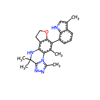 Cc1c(-c2cccc3c(C)c[nH]c23)c2c(c3c1-n1c(C)nnc1C(C)(C)N3)CCO2